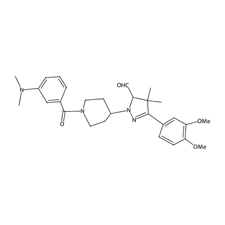 COc1ccc(C2=NN(C3CCN(C(=O)c4cccc(N(C)C)c4)CC3)C(C=O)C2(C)C)cc1OC